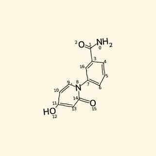 NC(=O)c1cccc(-n2[c]cc(O)cc2=O)c1